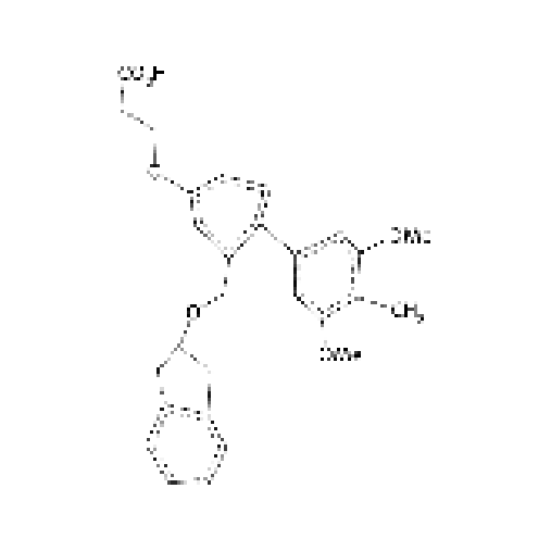 COc1cc(-c2ccc(OCCC(=O)O)cc2COC2Cc3ccccc3C2)cc(OC)c1C